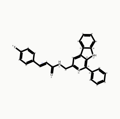 O=C(/C=C/c1ccc(F)cc1)NCc1cc2c([nH]c3ccccc32)c(-c2ccccc2)n1